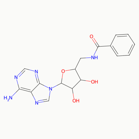 Nc1ncnc2c1ncn2C1OC(CNC(=O)c2ccccc2)C(O)C1O